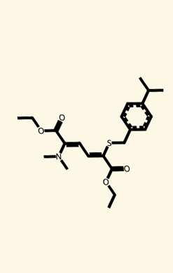 CCOC(=O)/C(=C/C=C(/C(=O)OCC)N(C)C)SCc1ccc(C(C)C)cc1